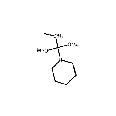 COC(OC)([SiH2]C)N1CCCCC1